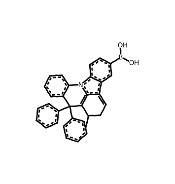 CC1CC=c2c3n(c4ccc(B(O)O)cc24)-c2ccccc2C(c2ccccc2)(c2ccccc2)C=31